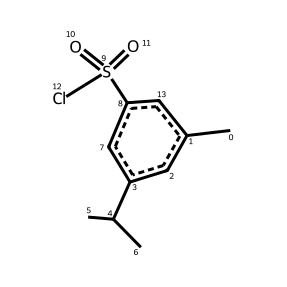 Cc1cc(C(C)C)cc(S(=O)(=O)Cl)c1